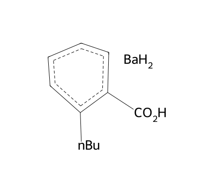 CCCCc1ccccc1C(=O)O.[BaH2]